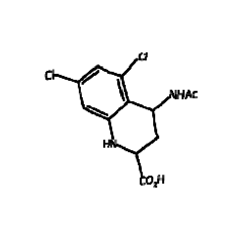 CC(=O)NC1CC(C(=O)O)Nc2cc(Cl)cc(Cl)c21